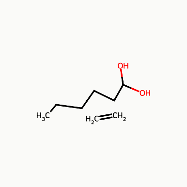 C=C.CCCCCC(O)O